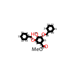 COC(=O)c1cc(OCc2ccccc2)c(O)c(OCc2ccccc2)c1